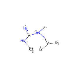 CCNC(=N)N(C)C(CC)CC